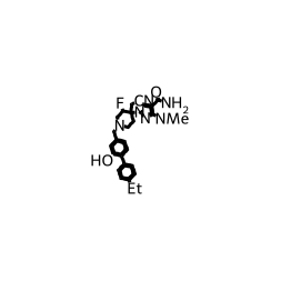 CCc1ccc(-c2ccc(CN3CCC(CC#N)(n4cc(C(N)=O)c(NC)n4)C(F)C3)cc2O)cc1